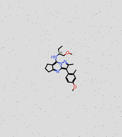 CC[C@@H](COC)Nc1c2c(nc3c(-c4ccc(OC)cc4C)c(C)nn13)CCC2